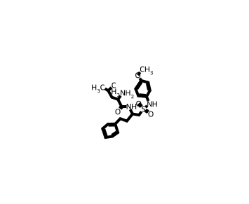 COc1ccc(NS(=O)(=O)CC(CCc2ccccc2)NC(=O)C(N)CC(C)C)cc1